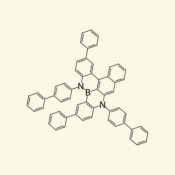 c1ccc(-c2ccc(N3B4c5cc(-c6ccccc6)ccc5N(c5ccc(-c6ccccc6)cc5)c5cc6ccccc6c(c54)-c4cc(-c5ccccc5)ccc43)cc2)cc1